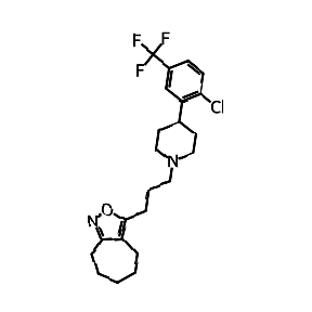 FC(F)(F)c1ccc(Cl)c(C2CCN(CCCc3onc4c3CCCCC4)CC2)c1